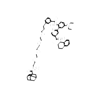 CCN(CC)c1ccc(NC(=O)c2cccc(CCCOCCOCCOCCOCCNC(=O)C34CC5CC(CC(C5)C3)C4)c2)c(-c2cc(C(=O)N[C@H]3CCCc4ccccc43)ccn2)c1